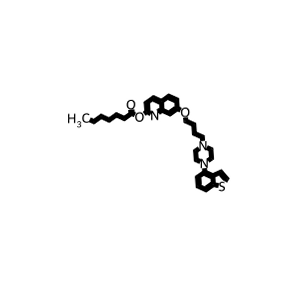 CCCCCCC(=O)Oc1ccc2ccc(OCCCCN3CCN(c4cccc5sccc45)CC3)cc2n1